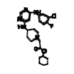 O=C(CN1CCC(Nc2cc(Nc3ccc(F)c(Cl)c3)ncn2)CC1)OC1CCCCC1